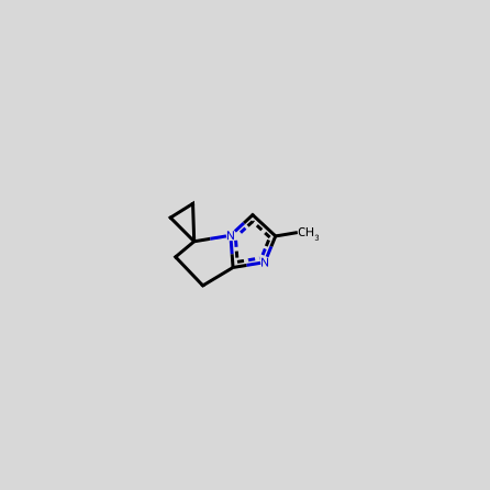 Cc1cn2c(n1)CCC21CC1